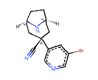 N#C[C@@]1(c2cncc(Br)c2)C[C@H]2CC[C@@H](C1)N2